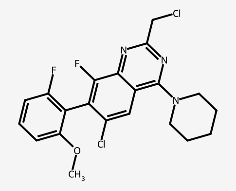 COc1cccc(F)c1-c1c(Cl)cc2c(N3CCCCC3)nc(CCl)nc2c1F